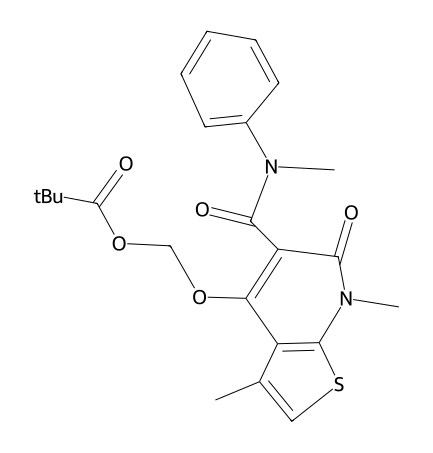 Cc1csc2c1c(OCOC(=O)C(C)(C)C)c(C(=O)N(C)c1ccccc1)c(=O)n2C